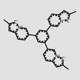 Cc1cc2ccc(-c3cc(-c4ccc5cc(C)[cH-][n+]5c4)cc(-c4ccc5cc(C)[cH-][n+]5c4)c3)c[n+]2[cH-]1